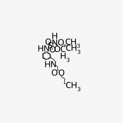 CCCCOC(=O)CNCc1cccc(NS(=O)(=O)NC(=O)OC(C)(C)C)c1